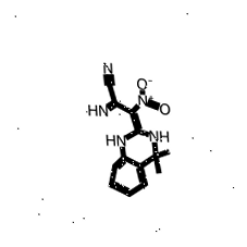 CC1(C)N/C(=C(/C(=N)C#N)[N+](=O)[O-])Nc2ccccc21